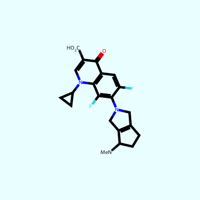 CNC1CCC2=C1CN(c1c(F)cc3c(=O)c(C(=O)O)cn(C4CC4)c3c1F)C2